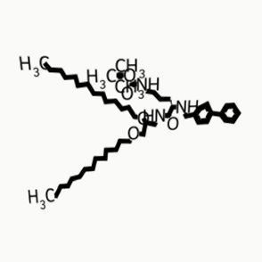 CCCCCCCCCCCCCCOCC(CNC(=O)[C@H](CCCCNC(=O)OC(C)(C)C)NCc1ccc(-c2ccccc2)cc1)OCCCCCCCCCCCCCC